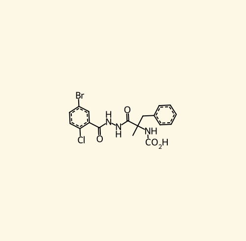 CC(Cc1ccccc1)(NC(=O)O)C(=O)NNC(=O)c1cc(Br)ccc1Cl